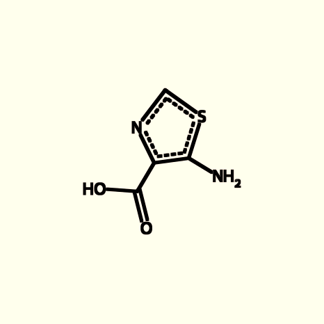 Nc1scnc1C(=O)O